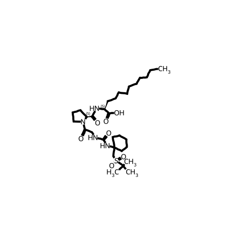 CCCCCCCCCC[C@H](NC(=O)[C@@H]1CCCN1C(=O)CNC(=O)NC1(CS(=O)(=O)C(C)(C)C)CCCCC1)C(=O)O